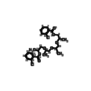 CC(COC(=O)c1ccccc1Cl)OCC(C)OCC(C)OCC(C)OC(=O)c1ccccc1Cl